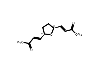 COC(=O)C=C[C@@H]1CC[C@H](C=CC(=O)OC)O1